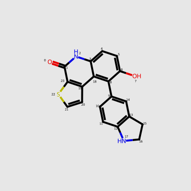 O=c1[nH]c2ccc(O)c(-c3ccc4c(c3)CCN4)c2c2ccsc12